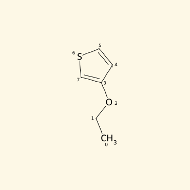 CCOc1[c]csc1